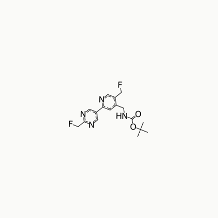 CC(C)(C)OC(=O)NCc1cc(-c2cnc(CF)nc2)ncc1CF